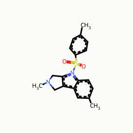 Cc1ccc(S(=O)(=O)n2c3c(c4cc(C)ccc42)CN(C)C3)cc1